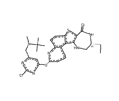 CC[C@@H]1CNc2c(sc3ccc4nc(Oc5cc(CN(C)C(C)(C)C)nc(Cl)n5)ccc4c23)C(=O)N1